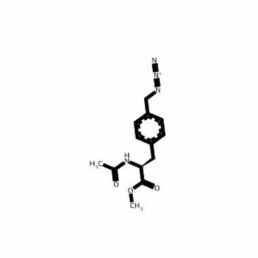 COC(=O)[C@H](Cc1ccc(CN=[N+]=[N-])cc1)NC(C)=O